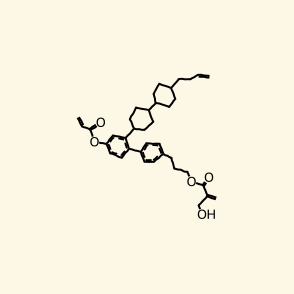 C=CCCC1CCC(C2CCC(c3cc(OC(=O)C=C)ccc3-c3ccc(CCCOC(=O)C(=C)CO)cc3)CC2)CC1